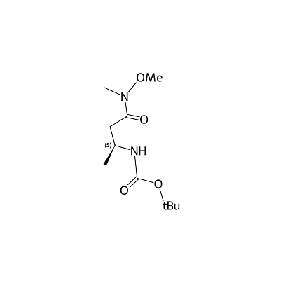 CON(C)C(=O)C[C@H](C)NC(=O)OC(C)(C)C